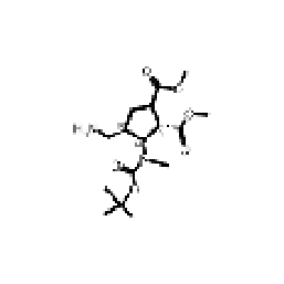 COC(=O)C1C[C@H](CN)[C@H](N(C)C(=O)OC(C)(C)C)[C@H]1C(=O)OC